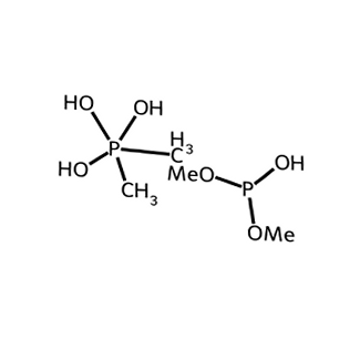 COP(O)OC.CP(C)(O)(O)O